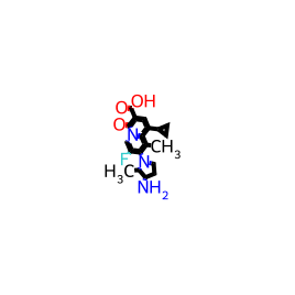 Cc1c(N2CCC(N)C2C)c(F)cn2c(=O)c(C(=O)O)cc(C3CC3)c12